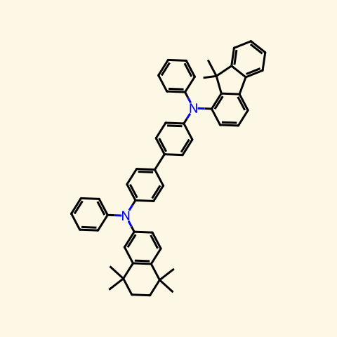 CC1(C)CCC(C)(C)c2cc(N(c3ccccc3)c3ccc(-c4ccc(N(c5ccccc5)c5cccc6c5C(C)(C)c5ccccc5-6)cc4)cc3)ccc21